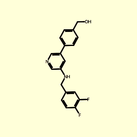 OCc1ccc(-c2cncc(NCc3ccc(F)c(F)c3)c2)cc1